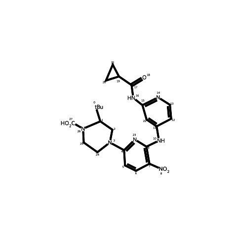 CC(C)(C)C1CN(c2ccc([N+](=O)[O-])c(Nc3ccnc(NC(=O)C4CC4)c3)n2)CCN1C(=O)O